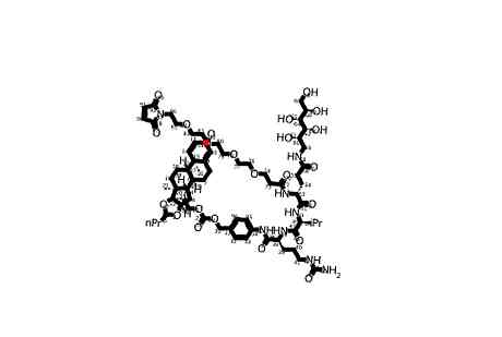 CCCC1O[C@@H]2C[C@H]3[C@@H]4CCC5=CC(=O)C=C[C@]5(C)[C@H]4CC[C@]3(C)[C@]2(C(=O)COC(=O)OCc2ccc(NC(=O)[C@H](CCCNC(N)=O)NC(=O)[C@@H](NC(=O)[C@@H](CCC(=O)NC[C@H](O)[C@@H](O)[C@H](O)[C@H](O)CO)NC(=O)CCOCCOCCOCCOCCN3C(=O)C=CC3=O)C(C)C)cc2)O1